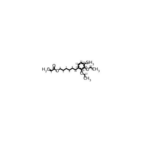 C=CC(=O)OCCCCCCc1ccc([SiH3])c(OCC)c1OCC